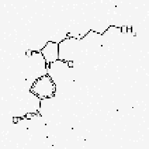 CCCCCSC1CC(=O)N(c2ccc(N=C=O)cc2)C1=O